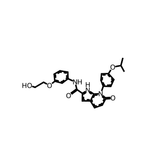 CC(C)Oc1ccc(-n2c(=O)ccc3cc(C(=O)Nc4cccc(OCCO)c4)[nH]c32)cc1